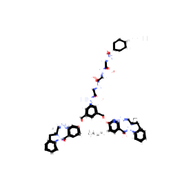 COc1cc2c(cc1OCc1cc(COc3cc4c(cc3OC)C(=O)N3c5ccccc5C[C@H]3CN4)cc(NC(=O)CNC(=O)CNC(=O)CNC(=O)[C@H]3CC[C@H](C(=O)O)CC3)c1)N=C[C@@H]1Cc3ccccc3N1C2=O